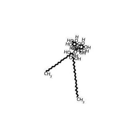 CCCCCCCCCCCCCCCCCCCCCCC(O)C(=O)N[C@@H](COP(=O)(O)O[C@H]1C(O)C(O)C(O)[C@@H](O)C1O[C@H]1O[C@H](CO)[C@@H](O)C(O)C1O)[C@H](O)CCCCCCCCCCCCCCCCC